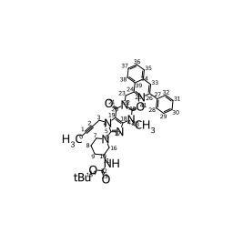 CC#CCn1c(N2CCCC(NC(=O)OC(C)(C)C)C2)nc2c1c(=O)n(Cc1nc(-c3ccccc3)cc3ccccc13)c(=O)n2C